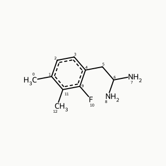 Cc1ccc(CC(N)N)c(F)c1C